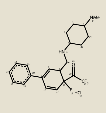 CNC1CCC(NCC2C=C(c3ccccc3)C=CC2(F)C(=O)C(F)(F)F)CC1.Cl